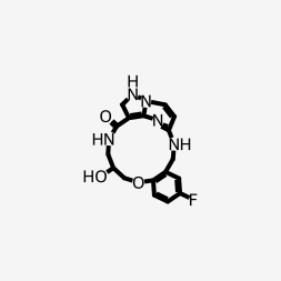 O=C1NCC(O)COc2ccc(F)cc2CNC2=NC3=C1CNN3C=C2